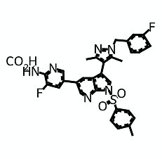 Cc1ccc(S(=O)(=O)n2cc(-c3c(C)nn(Cc4cccc(F)c4)c3C)c3cc(-c4cnc(NC(=O)O)c(F)c4)cnc32)cc1